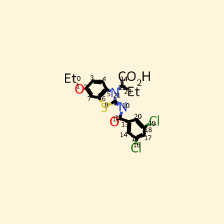 CCOc1ccc2c(c1)s/c(=N\C(=O)c1cc(Cl)cc(Cl)c1)n2C(CC)C(=O)O